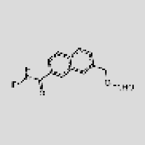 CC(C)NC(=O)c1ccc2ccc(COC=O)cc2c1